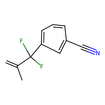 C=C(C)C(F)(F)c1cccc(C#N)c1